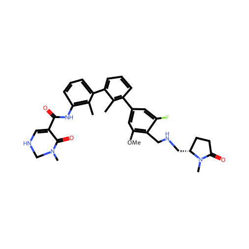 COc1cc(-c2cccc(-c3cccc(NC(=O)C4=CNCN(C)C4=O)c3C)c2C)cc(F)c1CNC[C@@H]1CCC(=O)N1C